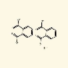 O=C([O-])c1ccccc1C(=O)[O-].O=C([O-])c1ccccc1C(=O)[O-].[Si+4]